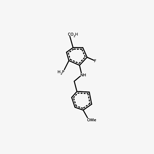 COc1ccc(CNc2c(F)cc(C(=O)O)cc2P)cc1